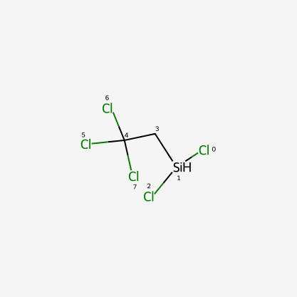 Cl[SiH](Cl)CC(Cl)(Cl)Cl